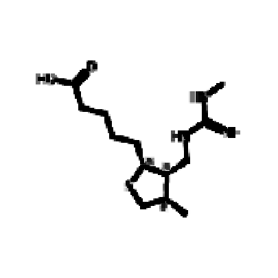 CNC(=N)NC[C@@H]1[C@H](CCCCC(=O)O)SC[C@@H]1C